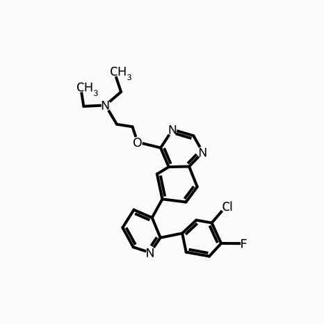 CCN(CC)CCOc1ncnc2ccc(-c3cccnc3-c3ccc(F)c(Cl)c3)cc12